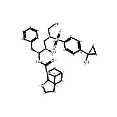 CC(C)CN(C[C@@H](O)[C@H](Cc1ccccc1)NC(=O)OC1C2COC3OCC1C3C2)S(=O)(=O)c1ccc(C2(O)CC2)cc1